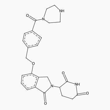 O=C1CCC(N2Cc3c(OCc4ccc(C(=O)N5CCNCC5)cc4)cccc3C2=O)C(=O)N1